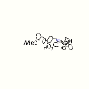 COc1cccc(COc2ccc(/C=C(/NC(=O)c3ccccc3O)C(=O)O)cc2)c1